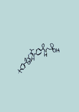 CC(C)[C@@H](Cc1noc(-c2ccc(C(C)(C)C)cc2)n1)Nc1ccc(C(=O)NCCC(=O)O)cc1